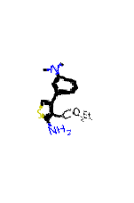 CCOC(=O)c1c(-c2cccc(N(C)C)c2)csc1N